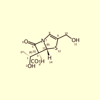 C[C@@H](O)[C@@]1(C(=O)O)C(=O)N2C=C(CO)S[C@@H]21